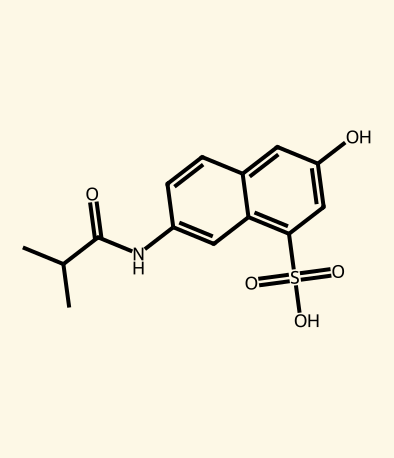 CC(C)C(=O)Nc1ccc2cc(O)cc(S(=O)(=O)O)c2c1